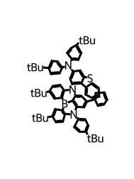 CC(C)(C)c1ccc(N(c2ccc(C(C)(C)C)cc2)c2cc(N3c4ccc(C(C)(C)C)cc4B4c5cc(C(C)(C)C)ccc5N(c5ccc(C(C)(C)C)cc5)c5cc(-c6ccccc6)cc3c54)c3c(c2)sc2ccccc23)cc1